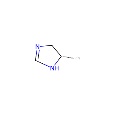 C[C@H]1CN=CN1